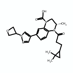 C[C@H]1CN(C(=O)O)c2cc(-c3cnn(C4COC4)c3)ccc2N1C(=O)CCC1CC1(C)C